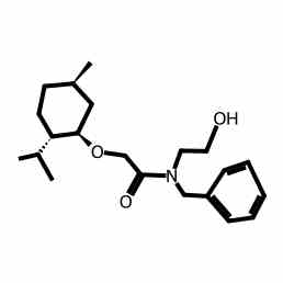 CC(C)[C@@H]1CC[C@@H](C)C[C@H]1OCC(=O)N(CCO)Cc1ccccc1